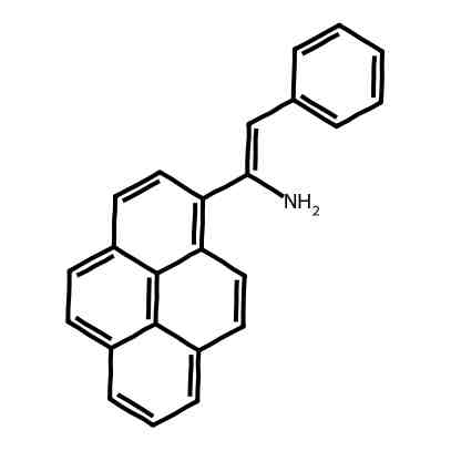 NC(=Cc1ccccc1)c1ccc2ccc3cccc4ccc1c2c34